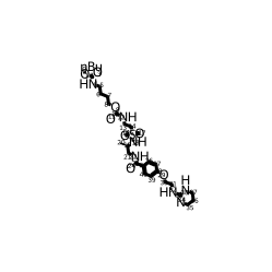 CCCCOC(=O)NCCCCOC(=O)NCCS(=O)(=O)N[C@H](C)CNC(=O)c1ccc(OCCNC2=NCCCN2)cc1